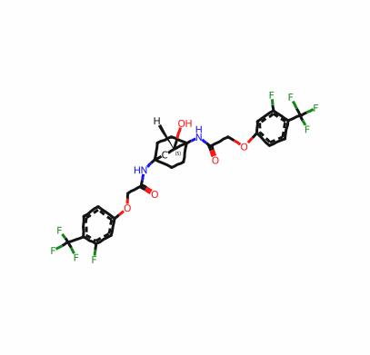 O=C(COc1ccc(C(F)(F)F)c(F)c1)NC12CCC(NC(=O)COc3ccc(C(F)(F)F)c(F)c3)(CC1)[C@@H](O)C2